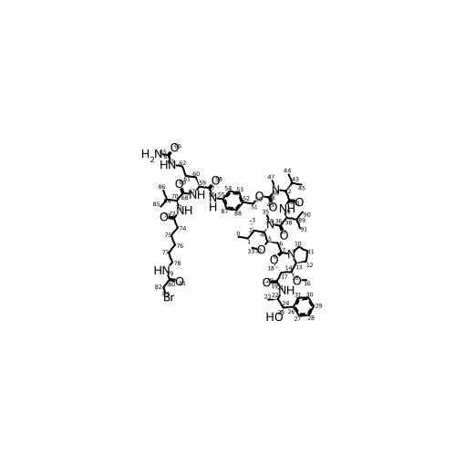 CC[C@H](C)[C@@H]([C@@H](CC(=O)N1CCC[C@H]1[C@H](OC)[C@@H](C)C(=O)N[C@H](C)[C@@H](O)c1ccccc1)OC)N(C)C(=O)[C@@H](NC(=O)[C@H](C(C)C)N(C)C(=O)OCc1ccc(NC(=O)[C@H](CCCNC(N)=O)NC(=O)[C@@H](NC(=O)CCCCCNC(=O)CBr)C(C)C)cc1)C(C)C